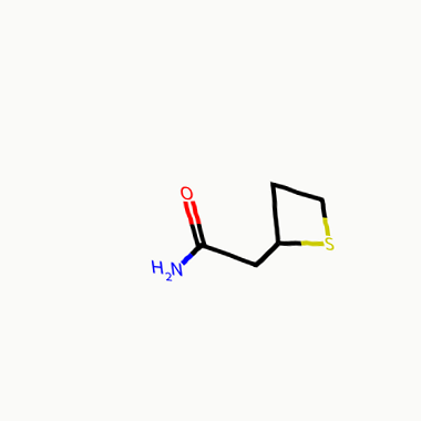 NC(=O)CC1CCS1